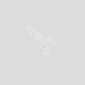 COC(=O)c1cc(C2CCN(C(=O)OC(C)(C)C)CC2)sc1N(C(=O)[C@H]1CC[C@H](C)CC1)C(C)C